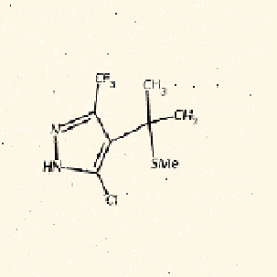 CSC(C)(C)c1c(C(F)(F)F)n[nH]c1Cl